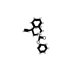 C#CC1CN(C(=O)Oc2ccccc2)Cc2ccccc21